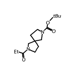 CCC(=O)N1CCC2(CCN(C(=O)OC(C)(C)C)C2)C1